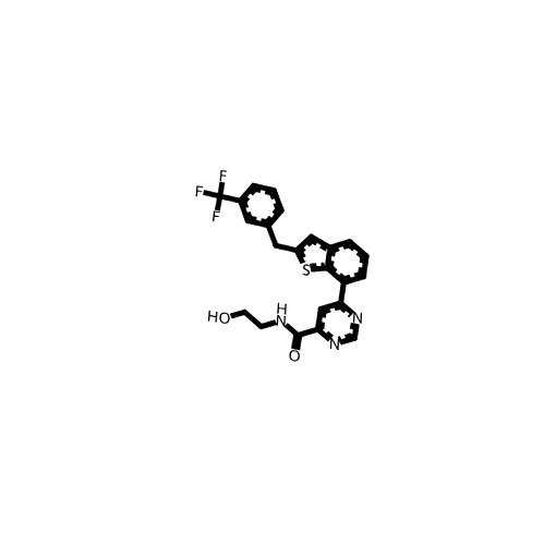 O=C(NCCO)c1cc(-c2cccc3cc(Cc4cccc(C(F)(F)F)c4)sc23)ncn1